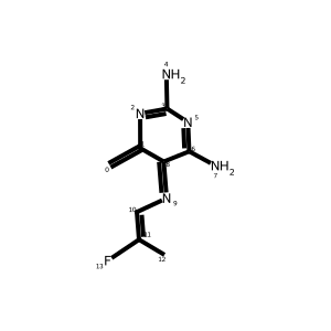 C=C1N=C(N)N=C(N)/C1=N/C=C(\C)F